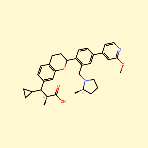 COc1cc(-c2ccc(C3CCc4ccc(C(C5CC5)[C@H](C)C(=O)O)cc4O3)c(CN3CCC[C@H]3C)c2)ccn1